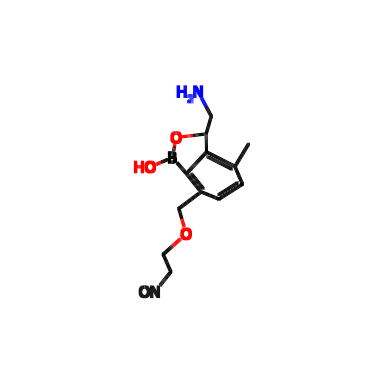 Cc1ccc(COCCN=O)c2c1C(CN)OB2O